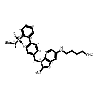 CCCCc1nc2cc(NCCCCC=O)cnc2n1Cc1ccc(-c2ccccc2S(=O)(=O)NC(C)(C)C)cc1